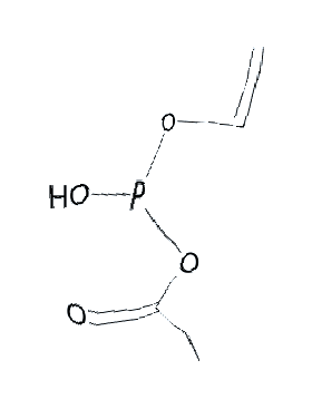 C=COP(O)OC(C)=O